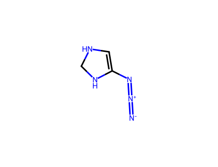 [N-]=[N+]=NC1=CNCN1